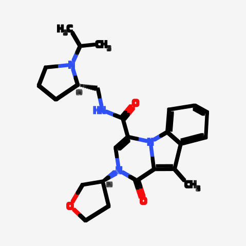 Cc1c2ccccc2n2c(C(=O)NC[C@@H]3CCCN3C(C)C)cn([C@H]3CCOC3)c(=O)c12